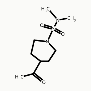 CC(=O)C1CCN(S(=O)(=O)N(C)C)CC1